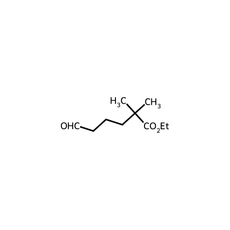 CCOC(=O)C(C)(C)CCCC=O